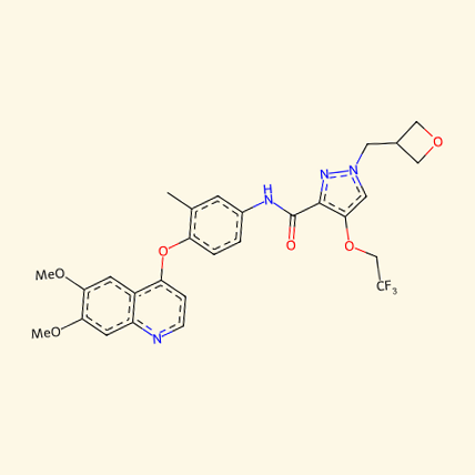 COc1cc2nccc(Oc3ccc(NC(=O)c4nn(CC5COC5)cc4OCC(F)(F)F)cc3C)c2cc1OC